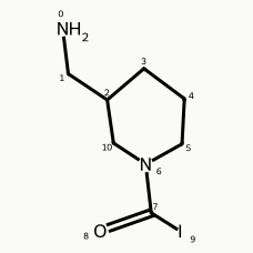 NCC1CCCN(C(=O)I)C1